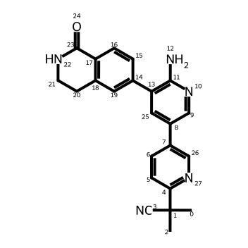 CC(C)(C#N)c1ccc(-c2cnc(N)c(-c3ccc4c(c3)CCNC4=O)c2)cn1